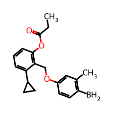 Bc1ccc(OCc2c(OC(=O)CC)cccc2C2CC2)cc1C